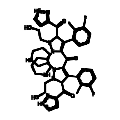 Cc1c(F)cccc1C1=C(C(=O)C2=C(c3cccc(F)c3C)C(C(=O)c3cc[nH]n3)N(CCO)N2C2CCCNC2)N(C2CCCNC2)N(CCO)C1C(=O)c1cc[nH]n1